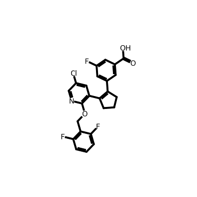 O=C(O)c1cc(F)cc(C2=C(c3cc(Cl)cnc3OCc3c(F)cccc3F)CCC2)c1